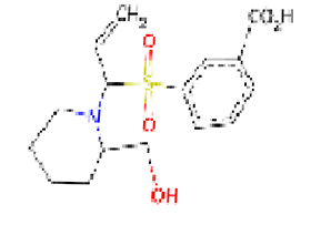 C=CC(N1CCCCC1CO)S(=O)(=O)c1cccc(C(=O)O)c1